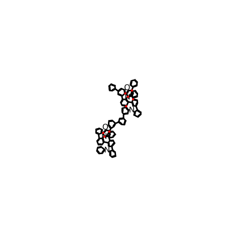 c1ccc(-c2ccc3c(c2)c2cccc(-c4c(-c5ccc6oc7ccccc7c6c5)ccc5c6ccccc6n(-c6cccc(-c7cccc(-c8ccc9oc%10ccc(-c%11ccc%12c%13ccccc%13n(-c%13ccccc%13)c%12c%11-c%11cccc%12c%13ccccc%13n(-c%13ccccc%13)c%11%12)cc%10c9c8)c7)c6)c45)c2n3-c2ccccc2)cc1